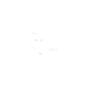 CN1CN=C(N)N=C1N